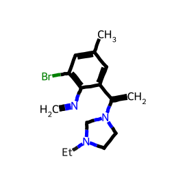 C=Nc1c(Br)cc(C)cc1C(=C)N1CCN(CC)C1